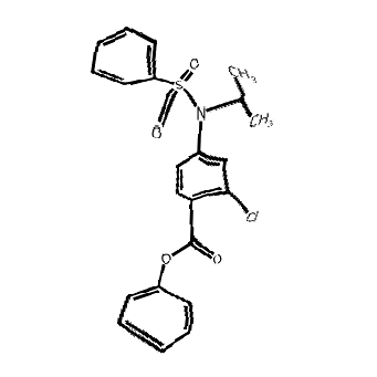 CC(C)N(c1ccc(C(=O)Oc2ccccc2)c(Cl)c1)S(=O)(=O)c1ccccc1